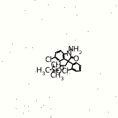 C[Si](C)(C)OCCC1(c2ccccc2Cl)C(=O)N(N)c2ccc(Cl)cc21